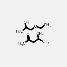 CC(=O)CC(C)C.CCOCC(C)O